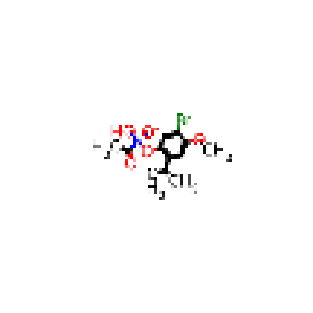 COc1cc(C(C)C)c(O[N+]([O-])(O)C(C)=O)cc1Br